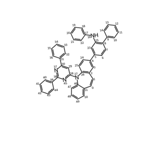 C1=Cc2cc(-c3ccc(-c4ccccc4)c(Nc4ccccc4)c3)ccc2N(c2cc(-c3ccccc3)nc(-c3ccccc3)n2)c2ccccc21